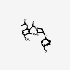 COc1c(C#N)ccc(OC(C)C(F)(F)F)c1C(=O)N1CC(Oc2ccc(Cl)cc2)C1